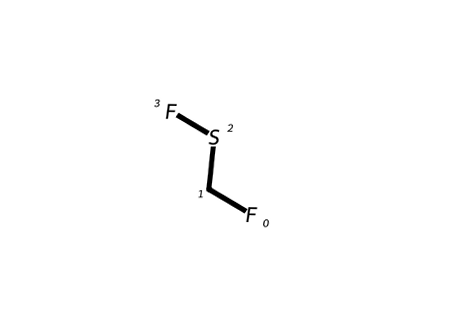 FCSF